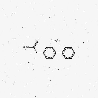 CC(C)=O.NC(=O)Cc1ccc(-c2ccccc2)cc1